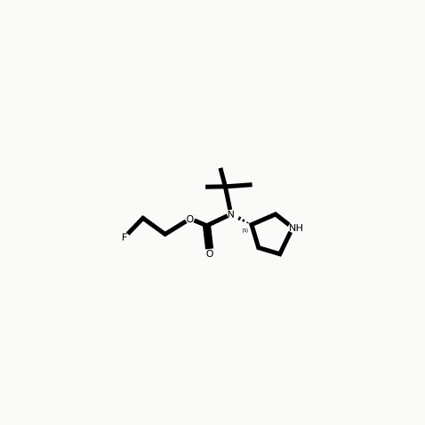 CC(C)(C)N(C(=O)OCCF)[C@H]1CCNC1